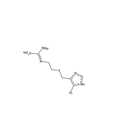 CCc1[nH]cnc1CSCC/N=C(\NC)S(=O)(=O)O